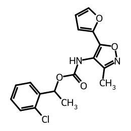 Cc1noc(-c2ccco2)c1NC(=O)OC(C)c1ccccc1Cl